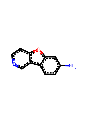 Nc1ccc2c(c1)oc1ccncc12